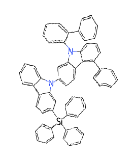 c1ccc(-c2ccccc2-n2c3cc(-n4c5ccccc5c5ccc([Si](c6ccccc6)(c6ccccc6)c6ccccc6)cc54)ccc3c3c(-c4ccccc4)cccc32)cc1